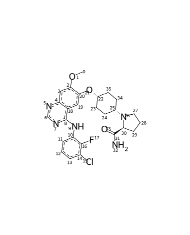 COc1cc2ncnc(Nc3cccc(Cl)c3F)c2cc1O[C@H]1CC[C@@H](N2CCC[C@H]2C(N)=O)CC1